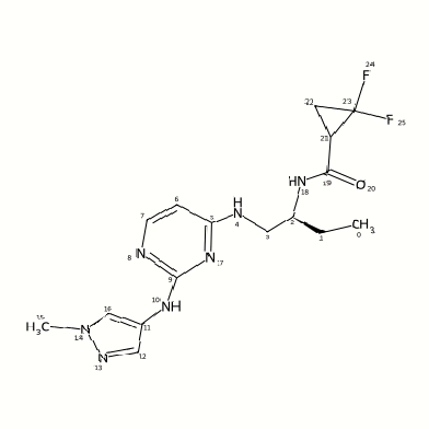 CC[C@@H](CNc1ccnc(Nc2cnn(C)c2)n1)NC(=O)C1CC1(F)F